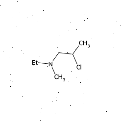 CCN(C)CC(C)Cl